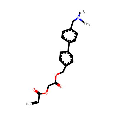 C=CC(=O)OCC(=O)OCc1ccc(-c2ccc(CN(C)C)cc2)cc1